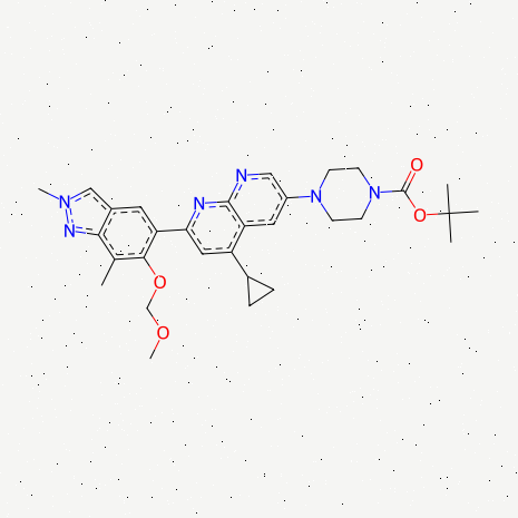 COCOc1c(-c2cc(C3CC3)c3cc(N4CCN(C(=O)OC(C)(C)C)CC4)cnc3n2)cc2cn(C)nc2c1C